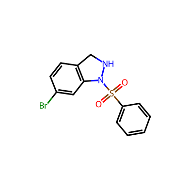 O=S(=O)(c1ccccc1)N1NCc2ccc(Br)cc21